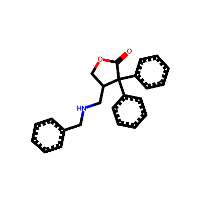 O=C1OCC(CNCc2ccccc2)C1(c1ccccc1)c1ccccc1